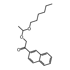 CCCCCCOC(C)OCC(=O)c1ccc2ccccc2c1